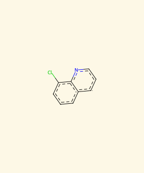 Clc1cccc2[c]ccnc12